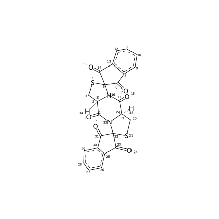 O=C1[C@H]2CSC3(C(=O)c4ccccc4C3=O)N2C(=O)[C@H]2CSC3(C(=O)c4ccccc4C3=O)N12